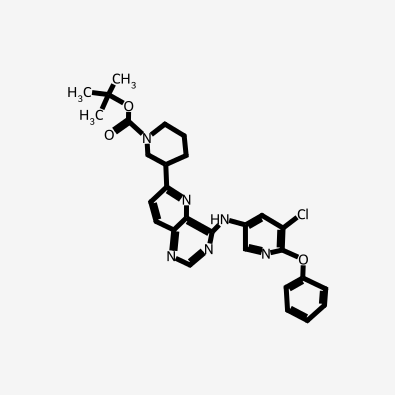 CC(C)(C)OC(=O)N1CCCC(c2ccc3ncnc(Nc4cnc(Oc5ccccc5)c(Cl)c4)c3n2)C1